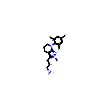 Cc1cc(C)c(N2CCCc3c2nn(C)c3CCCN)c(C)c1